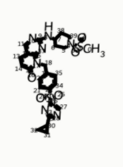 CS(=O)(=O)N1CCC(Nc2ncc3ccc(=O)n(Cc4ccc(S(=O)(=O)n5cnc(C6CC6)n5)cc4)c3n2)CC1